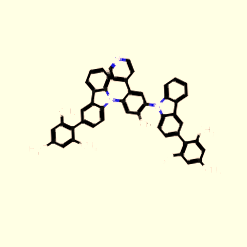 Cc1cc(C)c(-c2ccc3c(c2)c2ccccc2n3-c2cc(-c3ccncc3)c(-n3c4ccccc4c4cc(-c5c(C)cc(C)cc5C)ccc43)cc2C#N)c(C)c1